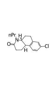 CCCN1C(=O)CC[C@@H]2c3ccc(Cl)cc3CC[C@H]21